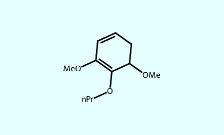 CCCOC1=C(OC)C=CCC1OC